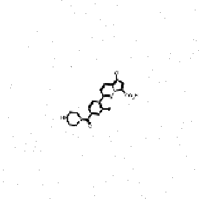 O=C(O)c1cc(Cl)c2ccc(-c3ccc(C(=O)N4CCNCC4)cc3F)nn12